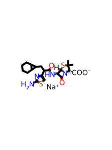 CC1(C)S[C@@H]2[C@H](NC(=O)C(CC3C4CCCCC43)c3csc(N)n3)C(=O)N2[C@H]1C(=O)[O-].[Na+]